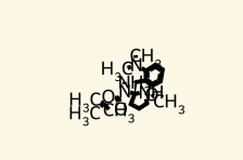 COc1cccc(N(C)C)c1C[C@]1(N(N)C(=O)OC(C)(C)C)CCCN1